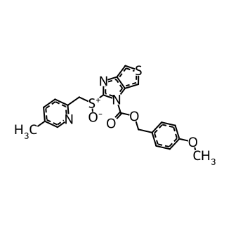 COc1ccc(COC(=O)n2c([S+]([O-])Cc3ccc(C)cn3)nc3cscc32)cc1